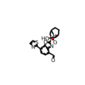 O=Cc1ccc(-c2nccs2)c2oc(N3CC4CCC(C3)N4C(=O)O)nc12